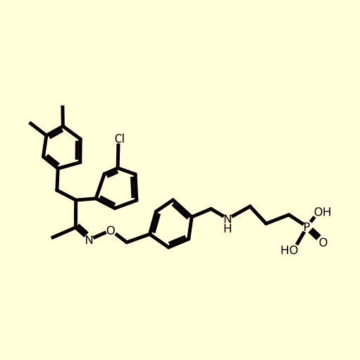 CC(=NOCc1ccc(CNCCCP(=O)(O)O)cc1)C(Cc1ccc(C)c(C)c1)c1cccc(Cl)c1